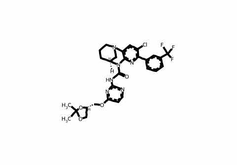 CC1(C)OC[C@@H](COc2ccnc(NC(=O)N3c4nc(-c5cccc(C(F)(F)F)c5)c(Cl)cc4N4CCC[C@H]3C4)n2)O1